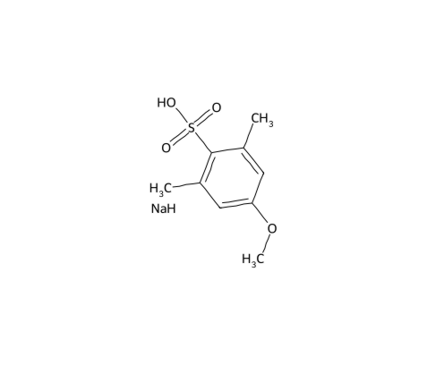 COc1cc(C)c(S(=O)(=O)O)c(C)c1.[NaH]